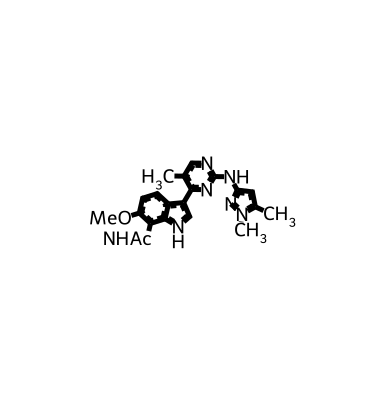 COc1ccc2c(-c3nc(Nc4cc(C)n(C)n4)ncc3C)c[nH]c2c1NC(C)=O